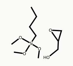 CCCC[Si](OC)(OC)OC.OCC1CO1